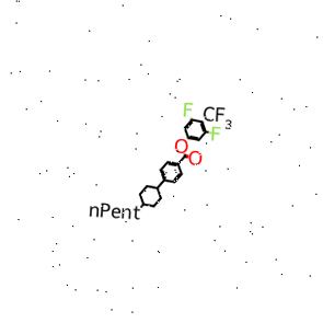 CCCCCC1CCC(c2ccc(C(=O)Oc3cc(F)c(C(F)(F)F)c(F)c3)cc2)CC1